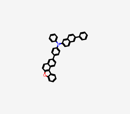 c1ccc(-c2ccc3cc(N(c4ccccc4)c4ccc(-c5ccc6c(ccc7oc8ccccc8c76)c5)cc4)ccc3c2)cc1